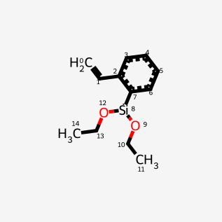 C=Cc1ccccc1[Si](OCC)OCC